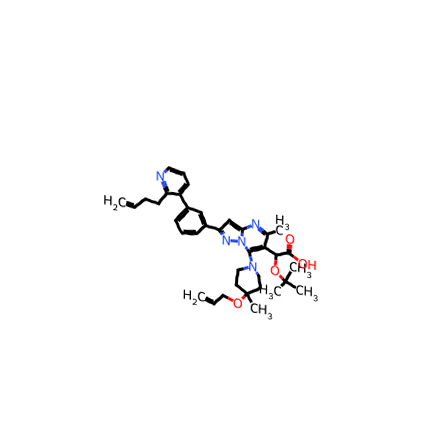 C=CCCc1ncccc1-c1cccc(-c2cc3nc(C)c(C(OC(C)(C)C)C(=O)O)c(N4CCC(C)(OCC=C)CC4)n3n2)c1